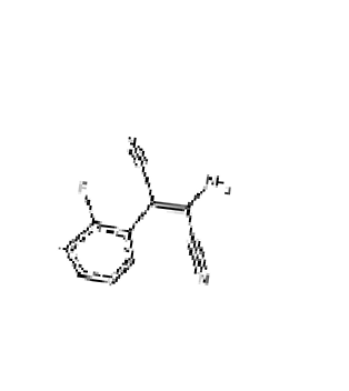 N#C/C(N)=C(/C#N)c1ccc[c]c1F